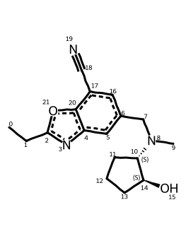 CCc1nc2cc(CN(C)[C@H]3CCC[C@@H]3O)cc(C#N)c2o1